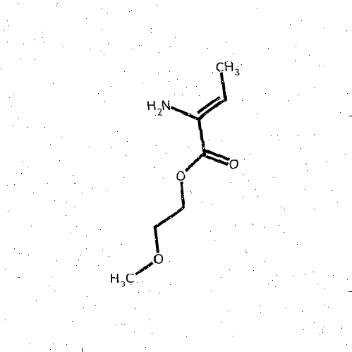 CC=C(N)C(=O)OCCOC